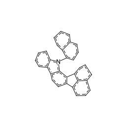 c1ccc2c(-n3c4ccccc4c4ccc5c(c43)-c3cccc4cccc-5c34)cccc2c1